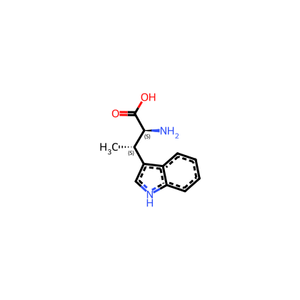 C[C@@H](c1c[nH]c2ccccc12)[C@H](N)C(=O)O